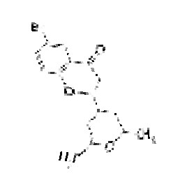 CC1CC(C2CC(=O)c3cc(Br)ccc3O2)CC(C)O1